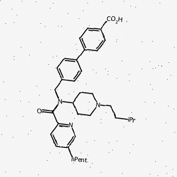 CCCCCc1ccc(C(=O)N(Cc2ccc(-c3ccc(C(=O)O)cc3)cc2)C2CCN(CCC(C)C)CC2)nc1